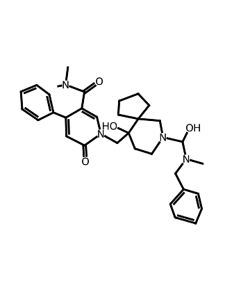 CN(C)C(=O)c1cn(CC2(O)CCN(C(O)N(C)Cc3ccccc3)CC23CCCC3)c(=O)cc1-c1ccccc1